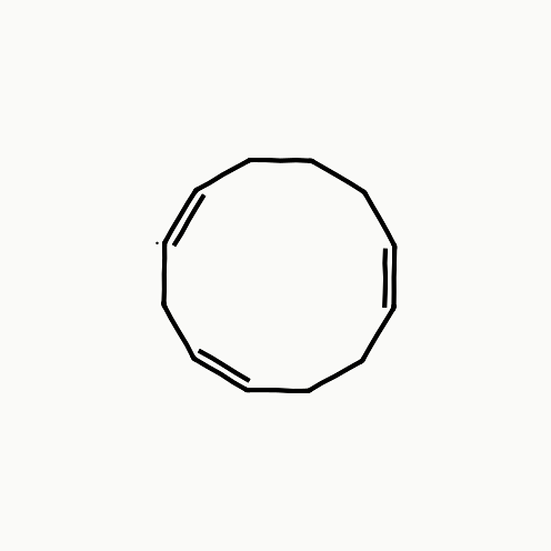 [C]1=C\CCC/C=C\CC/C=C\C/1